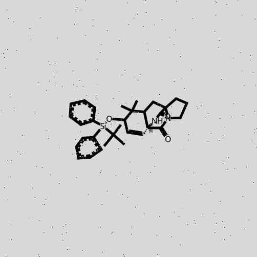 CC1(C)C(O[Si](c2ccccc2)(c2ccccc2)C(C)(C)C)C=C[C@]23NC(=O)C4(CCCN4C2=O)CC13